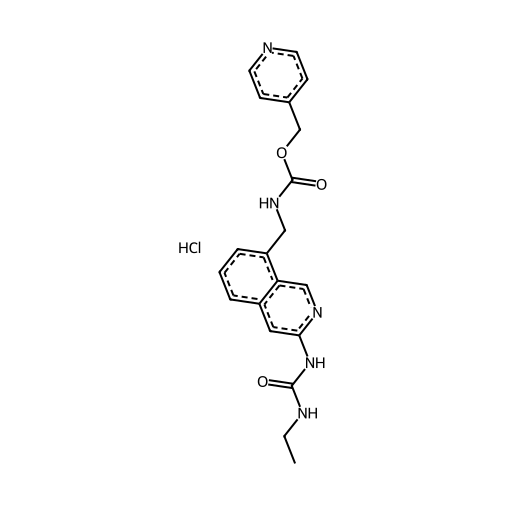 CCNC(=O)Nc1cc2cccc(CNC(=O)OCc3ccncc3)c2cn1.Cl